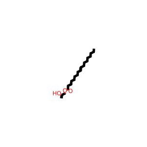 C=C(O)COC(=O)CCCCCCCC=CCCCCCCCC